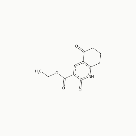 CCOC(=O)c1cc2c([nH]c1=O)CCCC2=O